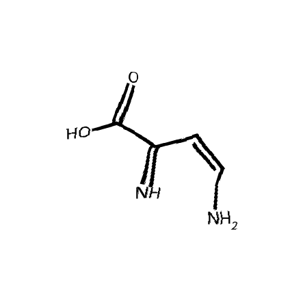 N=C(/C=C\N)C(=O)O